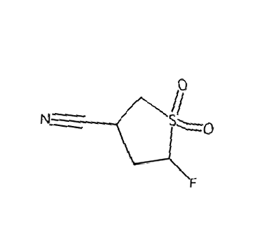 N#CC1CC(F)S(=O)(=O)C1